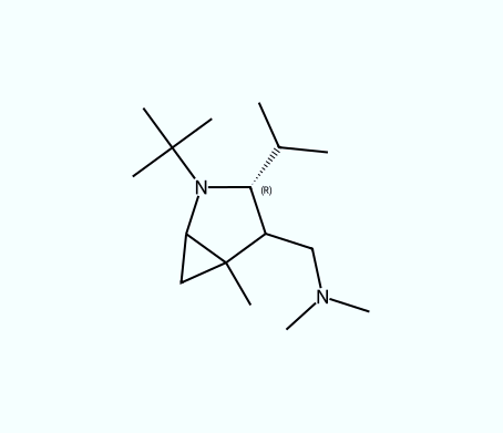 CC(C)[C@@H]1C(CN(C)C)C2(C)CC2N1C(C)(C)C